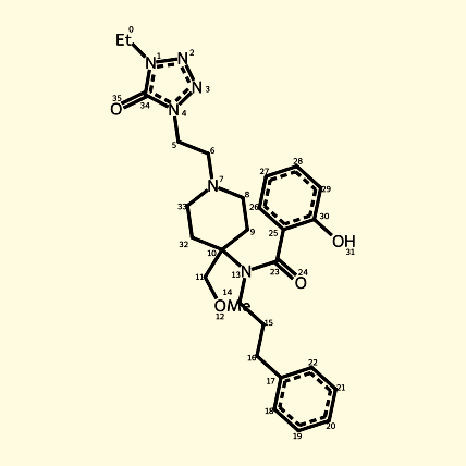 CCn1nnn(CCN2CCC(COC)(N(CCCc3ccccc3)C(=O)c3ccccc3O)CC2)c1=O